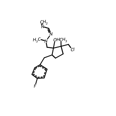 C=N/C=N\N(C)CC1(O)C(Cc2ccc(F)cc2)CCC1(C)CCl